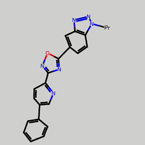 CC(C)n1nnc2cc(-c3nc(-c4ccc(-c5ccccc5)cn4)no3)ccc21